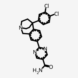 NC(=O)c1cnc(-c2ccc3c(c2)CN2CCC3(c3ccc(Cl)c(Cl)c3)CC2)nc1